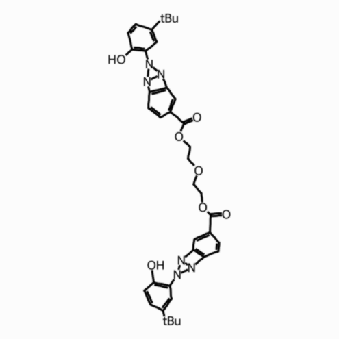 CC(C)(C)c1ccc(O)c(-n2n3c4ccc(C(=O)OCCOCCOC(=O)c5ccc6c(c5)n5n(-c7cc(C(C)(C)C)ccc7O)n65)cc4n23)c1